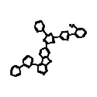 Cc1ccccc1-c1ccc(-c2nc(-c3ccccc3)nc(-c3ccc4c(c3)oc3cncc(-c5cccc(-c6ccccc6)c5)c34)n2)cc1